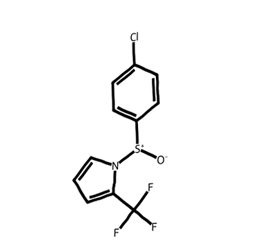 [O-][S+](c1ccc(Cl)cc1)n1cccc1C(F)(F)F